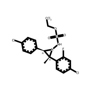 C[C@@]1(c2ccc(Cl)cc2F)[C@@H](c2ccc(Cl)cc2)N1NS(=O)(=O)OCC(Cl)(Cl)Cl